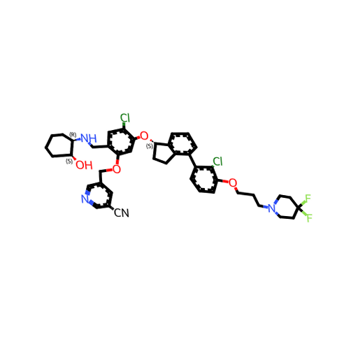 N#Cc1cncc(COc2cc(O[C@H]3CCc4c(-c5cccc(OCCCN6CCC(F)(F)CC6)c5Cl)cccc43)c(Cl)cc2CN[C@@H]2CCCC[C@@H]2O)c1